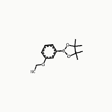 CC1(C)OB(c2cccc(OCC#N)c2)OC1(C)C